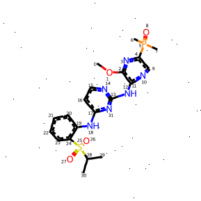 COc1nc(P(C)(C)=O)cnc1Nc1nccc(Nc2ccccc2S(=O)(=O)C(C)C)n1